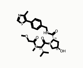 COCC(=O)N(C)[C@H](C(=O)N1C[C@H](O)C[C@H]1C(=O)NCc1ccc(-c2scnc2C)cc1)C(C)C